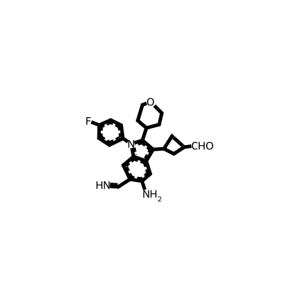 N=Cc1cc2c(cc1N)c(C1CC(C=O)C1)c(C1CCOCC1)n2-c1ccc(F)cc1